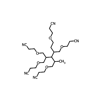 CC(COCCC#N)C(C(CCOCCC#N)COCCC#N)C(COCCC#N)COCCC#N